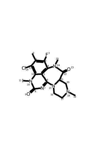 Cc1c(F)c2c3c(nc(=O)n(I)c3c1Cl)N1CCN(C)CC1C(=O)N2C